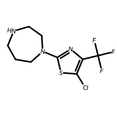 FC(F)(F)c1nc(N2CCCNCC2)sc1Cl